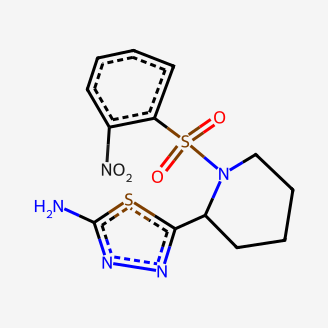 Nc1nnc(C2CCCCN2S(=O)(=O)c2ccccc2[N+](=O)[O-])s1